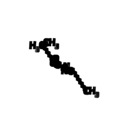 CCCCCCCCCCCc1ccc(-c2ncc(-c3ccc(OC(=O)CCCCCCCC(C)CC)cc3)cn2)cc1